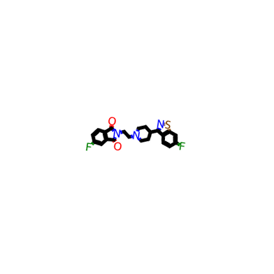 O=C1c2ccc(F)cc2C(=O)N1CCN1CCC(c2nsc3cc(F)ccc23)CC1